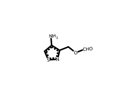 Nc1csnc1COC=O